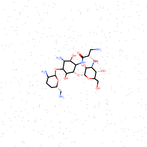 NC[C@@H]1CCC(N)[C@@H](OC2C(O)[C@@H](O[C@H]3OC(CO)[C@@H](O)[C@H](N)C3O)C(NC(=O)[C@@H](O)CN)[C@H](O)[C@@H]2N)O1